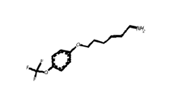 NCCCCCCOc1ccc(OC(F)(F)F)cc1